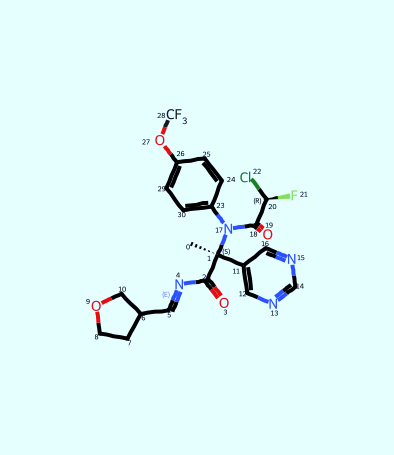 C[C@@](C(=O)/N=C/C1CCOC1)(c1cncnc1)N(C(=O)[C@H](F)Cl)c1ccc(OC(F)(F)F)cc1